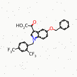 O=C(O)C(=O)c1cn(Cc2ccc(C(F)(F)F)cc2C(F)(F)F)c2ccc(OCc3ccccc3)cc12